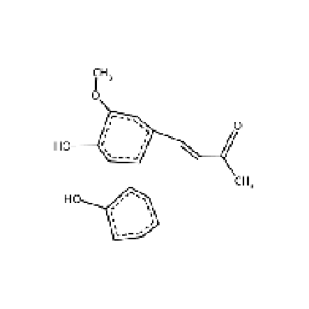 COc1cc(C=CC(C)=O)ccc1O.Oc1ccccc1